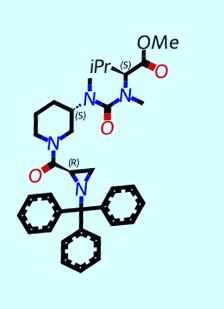 COC(=O)[C@H](C(C)C)N(C)C(=O)N(C)[C@H]1CCCN(C(=O)[C@H]2CN2C(c2ccccc2)(c2ccccc2)c2ccccc2)C1